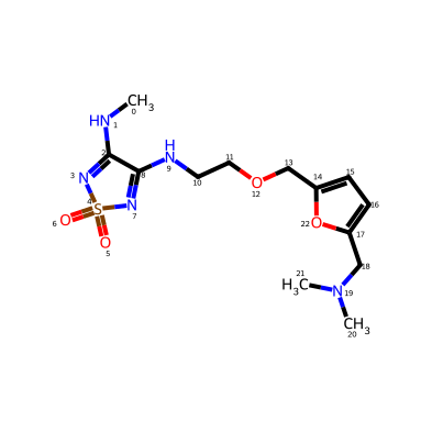 CNC1=NS(=O)(=O)N=C1NCCOCc1ccc(CN(C)C)o1